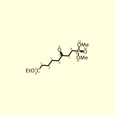 CCOC(=O)CCCCC(=O)CCP(=O)(OC)OC